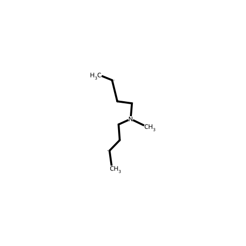 C[CH]CCN(C)CC[CH]C